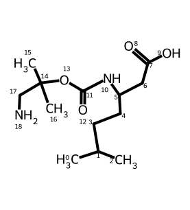 CC(C)CCC(CC(=O)O)NC(=O)OC(C)(C)CN